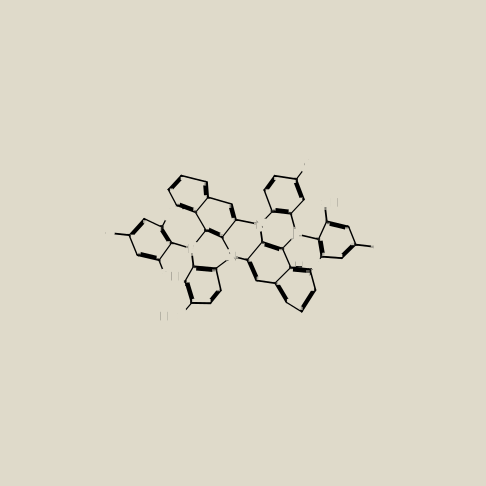 Cc1cc(C)c(B2c3cc(C)ccc3N3c4cc5ccccc5c5c4N(c4ccc(C)cc4B5c4c(C)cc(C)cc4C)c4cc5ccccc5c2c43)c(C)c1